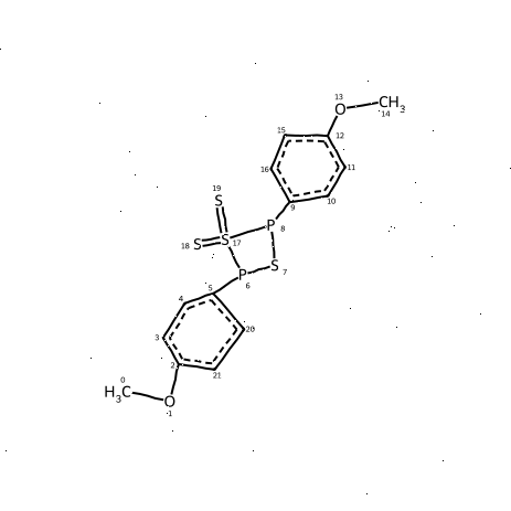 COc1ccc(P2SP(c3ccc(OC)cc3)S2(=S)=S)cc1